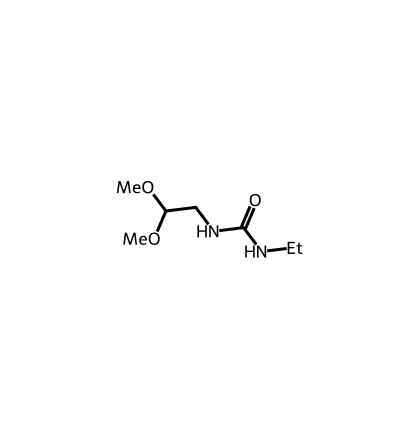 CCNC(=O)NCC(OC)OC